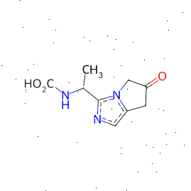 CC(NC(=O)O)c1ncc2n1CC(=O)C2